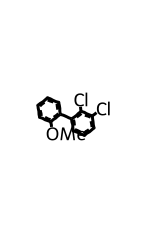 COc1ccccc1-c1cccc(Cl)c1Cl